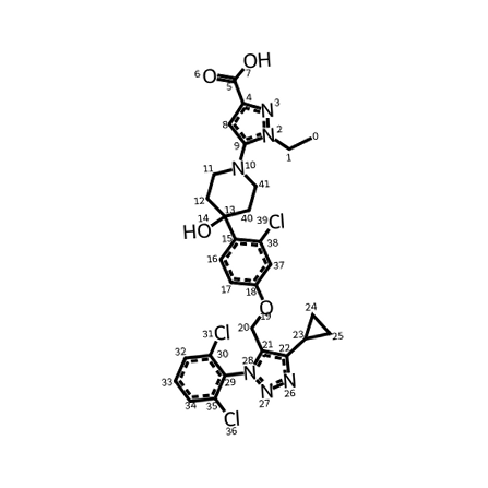 CCn1nc(C(=O)O)cc1N1CCC(O)(c2ccc(OCc3c(C4CC4)nnn3-c3c(Cl)cccc3Cl)cc2Cl)CC1